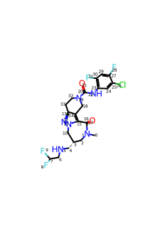 CN1C[C@H](CNCC(F)F)Cn2nc3c(c2C1=O)CN(C(=O)Nc1cc(Cl)c(F)cc1F)CC3